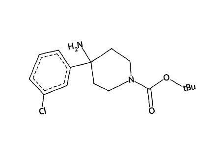 CC(C)(C)OC(=O)N1CCC(N)(c2cccc(Cl)c2)CC1